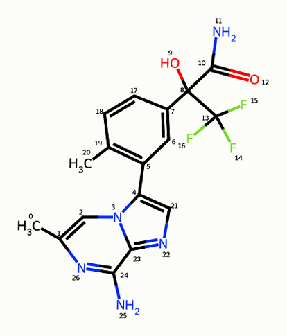 Cc1cn2c(-c3cc(C(O)(C(N)=O)C(F)(F)F)ccc3C)cnc2c(N)n1